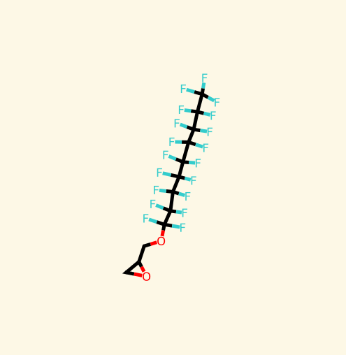 FC(F)(F)C(F)(F)C(F)(F)C(F)(F)C(F)(F)C(F)(F)C(F)(F)C(F)(F)C(F)(F)OCC1CO1